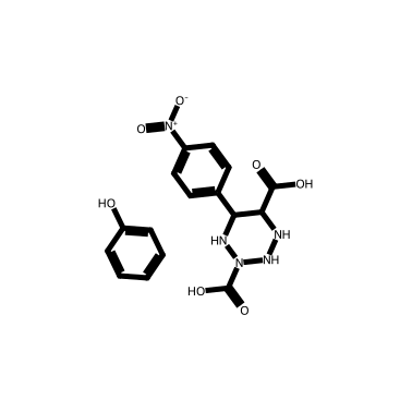 O=C(O)C1NNN(C(=O)O)NC1c1ccc([N+](=O)[O-])cc1.Oc1ccccc1